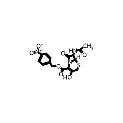 CC(=O)NC1C(=O)N2C(C(=O)OCc3ccc([N+](=O)[O-])cc3)=C(O)CS[C@@H]12